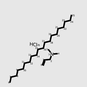 C=CCN(C)C.CCCCCCCCCCCCCCCCCCCC.Cl